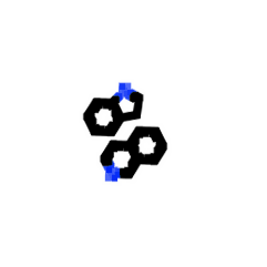 C1=Nc2ccccc2C1.c1ccc2cnccc2c1